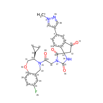 Cn1cc(-c2ccc3c(c2)C(=O)CC32NC(=O)N(CC(=O)N3Cc4cc(F)ccc4OC[C@H]3C3CC3)C2=O)cn1